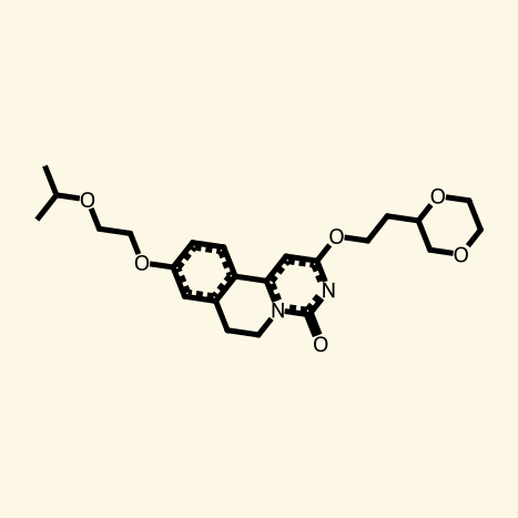 CC(C)OCCOc1ccc2c(c1)CCn1c-2cc(OCCC2COCCO2)nc1=O